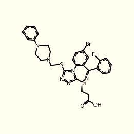 O=C(O)CC[C@@H]1N=C(c2ccccc2F)c2cc(Br)ccc2-n2c(SCN3CCN(c4ccccc4)CC3)nnc21